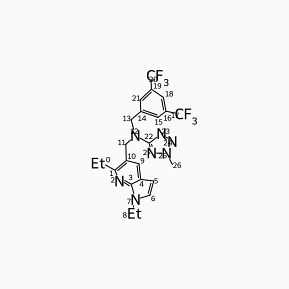 [CH2]Cc1nc2c(ccn2CC)cc1CN(Cc1cc(C(F)(F)F)cc(C(F)(F)F)c1)c1nnn(C)n1